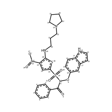 O=C(c1ccccc1)N(Oc1ccc2[nH]ccc2c1)S(=O)(=O)c1cc([N+](=O)[O-])c(NCCCN2CCCC2)s1